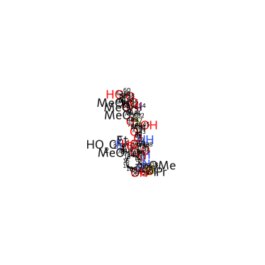 CCN(CC(=O)O)[C@H]1CO[C@@H](O[C@H]2[C@H](O[C@H]3C#CC=CC#C[C@]4(O)CC(=O)C(NC(=O)OC)=C3/C4=C\CSSC(C)C)O[C@H](C)[C@@H](NO[C@H]3C[C@H](O)[C@H](SC(=O)c4c(C)c(I)c(O[C@@H]5O[C@@H](C)[C@H](O)[C@@H](OC)[C@H]5O)c(OC)c4OC)[C@@H](C)O3)[C@@H]2O)C[C@@H]1OC